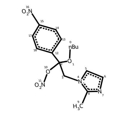 CCCCOC([CH]n1ccnc1C)(O[N+](=O)[O-])c1ccc([N+](=O)[O-])cc1